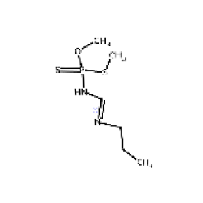 CCC/N=C/NP(=S)(OC)SC